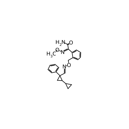 CON=C(C(N)=O)c1ccccc1CON=CC1(c2ccccc2)CC1C1CC1